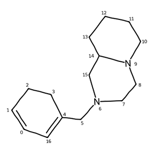 C1=CCCC(CN2CCN3CCCCC3C2)=C1